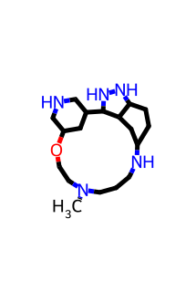 CN1CCCNC2CCC3NNC(C4CNCC(C4)OCC1)C3C2